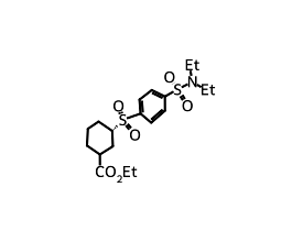 CCOC(=O)C1CCC[C@H](S(=O)(=O)c2ccc(S(=O)(=O)N(CC)CC)cc2)C1